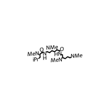 CNCCC[C@@H](CNC(=O)[C@H](CCCCNC(=O)[C@H](CC(C)C)NC)NC)NC